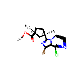 CC(C)OC(=O)[C@]1(C)CC[C@@](C)(c2nc(Br)c3c(Cl)nccn23)C1